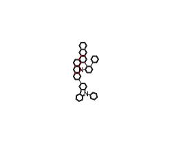 c1ccc(-c2ccccc2-c2c(-c3ccccc3)cccc2N(c2cccc(-c3ccc4ccccc4c3)c2)c2cccc(-c3ccc4c(c3)c3ccccc3n4-c3ccccc3)c2)cc1